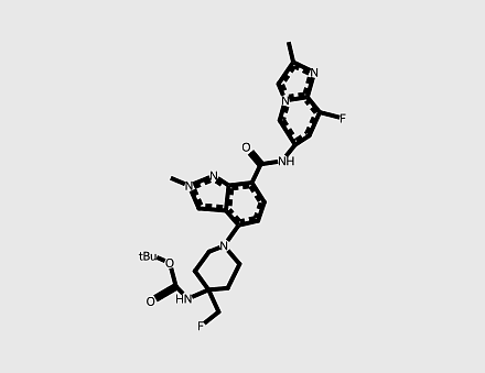 Cc1cn2cc(NC(=O)c3ccc(N4CCC(CF)(NC(=O)OC(C)(C)C)CC4)c4cn(C)nc34)cc(F)c2n1